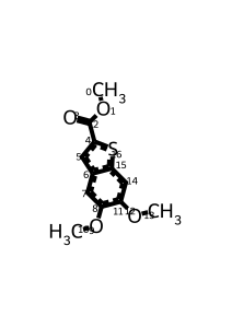 COC(=O)c1cc2cc(OC)c(OC)cc2s1